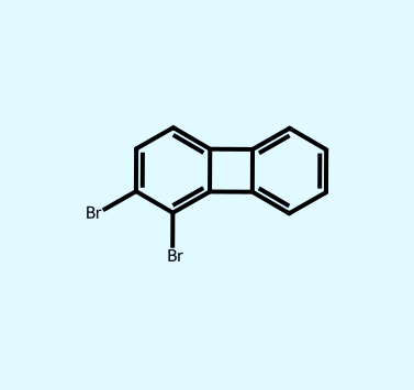 Brc1ccc2c(c1Br)-c1ccccc1-2